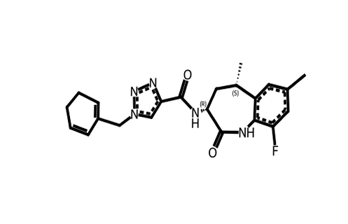 Cc1cc(F)c2c(c1)[C@@H](C)C[C@@H](NC(=O)c1cn(CC3=CCCC=C3)nn1)C(=O)N2